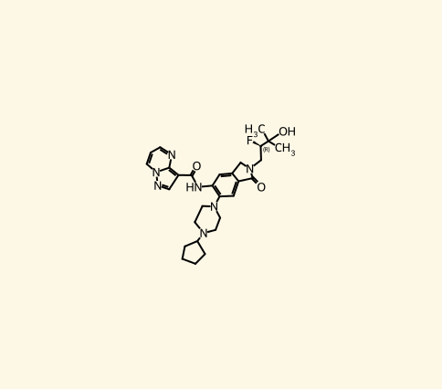 CC(C)(O)[C@H](F)CN1Cc2cc(NC(=O)c3cnn4cccnc34)c(N3CCN(C4CCCC4)CC3)cc2C1=O